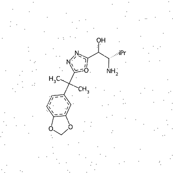 CC(C)[C@H](N)C(O)c1nnc(C(C)(C)c2ccc3c(c2)OCO3)o1